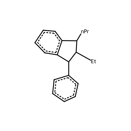 CCCC1c2ccccc2C(c2ccccc2)C1CC